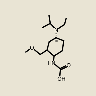 CCN(C(C)C)[C@@H]1CCC(NC(=O)O)C(COC)C1